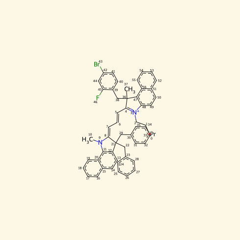 CC(C)CC[N+]1=C(/C=C/C=C2/N(C)c3c(ccc4ccccc34)C2(Cc2ccccc2)Cc2ccccc2)C(C)(Cc2ccc(Br)cc2F)c2c1ccc1ccccc21